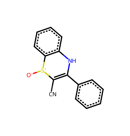 N#CC1=C(c2ccccc2)Nc2ccccc2[S+]1[O-]